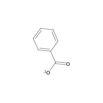 O=C([1O])c1ccccc1